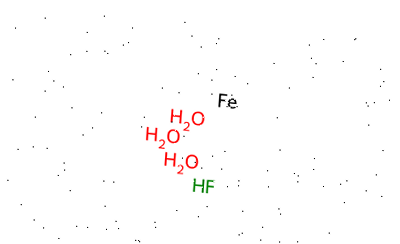 F.O.O.O.[Fe]